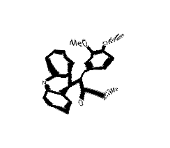 COC(=O)C(c1ccc(OC)c(OC)c1)c1c2ccccc2nc2ccccc12